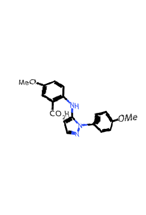 COc1ccc(-n2nccc2Nc2ccc(OC)cc2C(=O)O)cc1